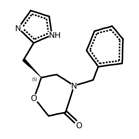 O=C1CO[C@@H](Cc2ncc[nH]2)CN1Cc1ccccc1